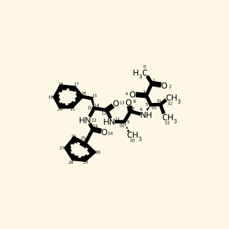 CC(=O)C(=O)[C@@H](NC(=O)[C@H](C)NC(=O)[C@H](Cc1ccccc1)NC(=O)c1ccccc1)C(C)C